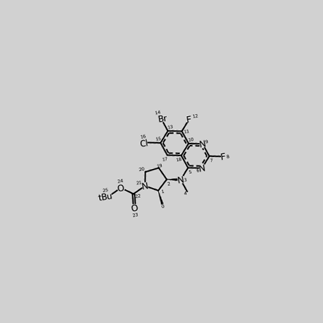 C[C@@H]1[C@H](N(C)c2nc(F)nc3c(F)c(Br)c(Cl)cc23)CCN1C(=O)OC(C)(C)C